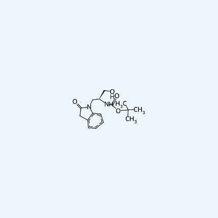 CC(C)(C)OC(=O)N[C@H](CO)CN1C(=O)Cc2ccccc21